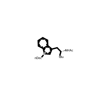 CCCCCCCCCCn1cc(C[C@H](NC(C)=O)C(C)(C)C)c2ccccc21